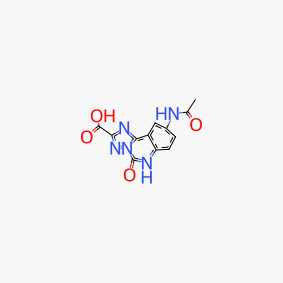 CC(=O)Nc1ccc2[nH]c(=O)n3nc(C(=O)O)nc3c2c1